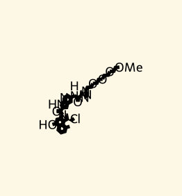 COCCOCCOCCOCCn1cc(C(=O)Nc2cnc3[nH]c(C(=O)N4C[C@@H](CCl)c5c4cc(O)c4cccc(C)c54)cc3c2)nn1